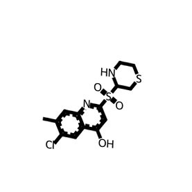 Cc1cc2nc(S(=O)(=O)C3CSCCN3)cc(O)c2cc1Cl